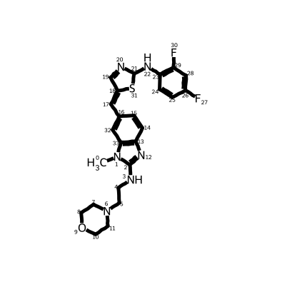 Cn1c(NCCN2CCOCC2)nc2ccc(C=C3C=NC(Nc4ccc(F)cc4F)S3)cc21